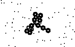 c1ccc(-c2ccc(-c3ccc(N(c4ccc5c(c4)Oc4cccc6cccc(c46)O5)c4ccc5c(c4)C(c4ccccc4)(c4ccccc4)c4ccccc4-5)cc3)cc2)cc1